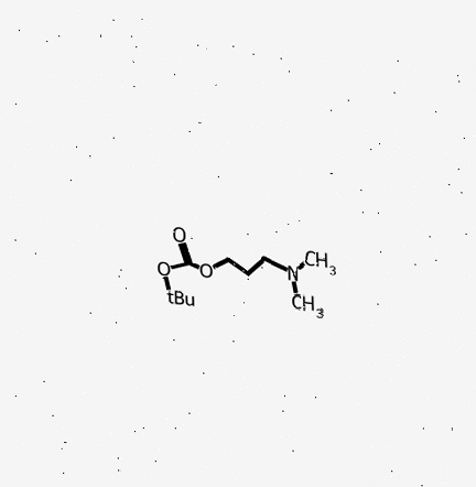 CN(C)CCCOC(=O)OC(C)(C)C